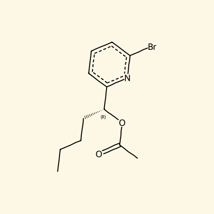 CCCC[C@@H](OC(C)=O)c1cccc(Br)n1